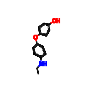 CCNc1ccc(Oc2ccc(O)cc2)cc1